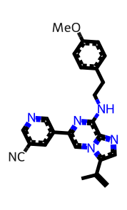 C=C(C)c1cnc2c(NCCc3ccc(OC)cc3)nc(-c3cncc(C#N)c3)cn12